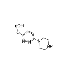 CCCCCCCCOc1ccc(N2CCNCC2)nn1